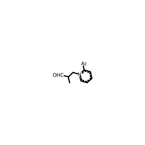 CC(=O)c1cccc[n+]1CC(C)C=O